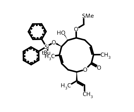 CC=C(C)[C@H]1CC=C(C)[C@@H](O[Si](c2ccccc2)(c2ccccc2)C(C)(C)C)[C@H](O)C(OCSC)CC=C(C)C(=O)O1